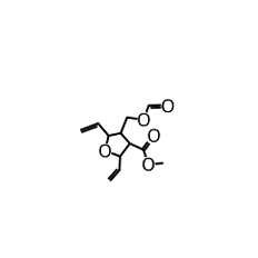 C=CC1OC(C=C)C(C(=O)OC)C1COC=O